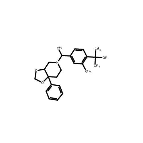 Cc1cc(C(O)N2CCC3(c4ccccc4)OCOC3C2)ccc1C(C)(C)O